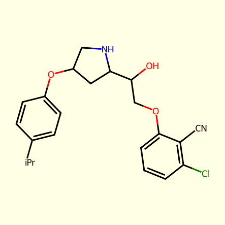 CC(C)c1ccc(OC2CNC(C(O)COc3cccc(Cl)c3C#N)C2)cc1